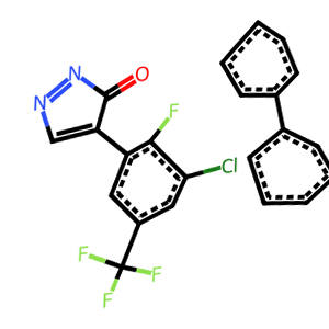 O=C1N=NC=C1c1cc(C(F)(F)F)cc(Cl)c1F.c1ccc(-c2ccccc2)cc1